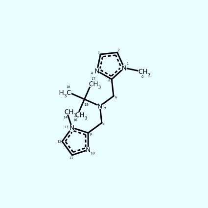 Cn1ccnc1CN(Cc1nccn1C)C(C)(C)C